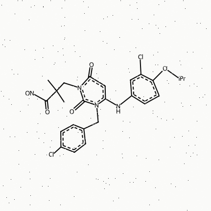 CC(C)Oc1ccc(Nc2cc(=O)n(CC(C)(C)C(=O)N=O)c(=O)n2Cc2ccc(Cl)cc2)cc1Cl